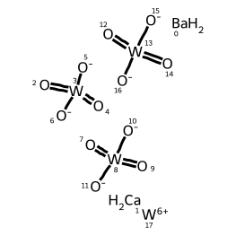 [BaH2].[CaH2].[O]=[W](=[O])([O-])[O-].[O]=[W](=[O])([O-])[O-].[O]=[W](=[O])([O-])[O-].[W+6]